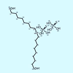 CCCCCCCCCCCCCCCCC[CH2][Zn][CH2]CCCCCCCCCCCCCCCCC.OP(O)(O)=S.OP(O)(O)=S